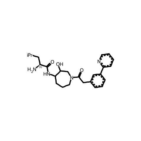 CC(C)C[C@H](N)C(=O)NC1CCCN(C(=O)Cc2cccc(-c3ccccn3)c2)CC1O